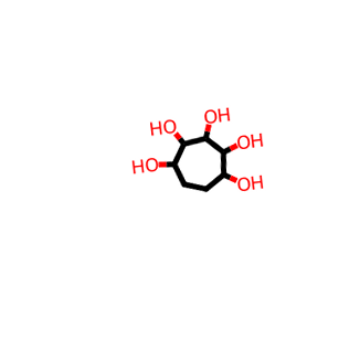 OC1CCC(O)C(O)C(O)C1O